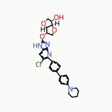 O[C@@H]1CO[C@H]2[C@@H]1OC[C@H]2Oc1nc2nc(-c3ccc(-c4ccc(N5CCCCC5)cc4)cc3)c(Cl)cc2[nH]1